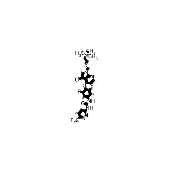 C[Si](C)(C)CCOCn1cc(Cl)c2c(Oc3c(F)cc(NC(=O)Nc4ccc(C(F)(F)F)nn4)cc3F)ccnc21